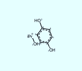 CC(C)O.Oc1ccc(O)cc1